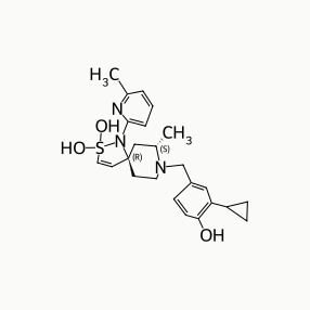 Cc1cccc(N2[C@]3(C=CS2(O)O)CCN(Cc2ccc(O)c(C4CC4)c2)[C@@H](C)C3)n1